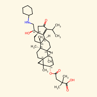 CC(C)C1=C2[C@H]3CC[C@@H]4[C@@]5(C)CC[C@H](OC(=O)CC(C)(C)C(=O)O)C6(C)C[C@]65CC[C@@]4(C)[C@]3(C)CC[C@@]2([C@@H](O)CNC2CCCCC2)CC1=O